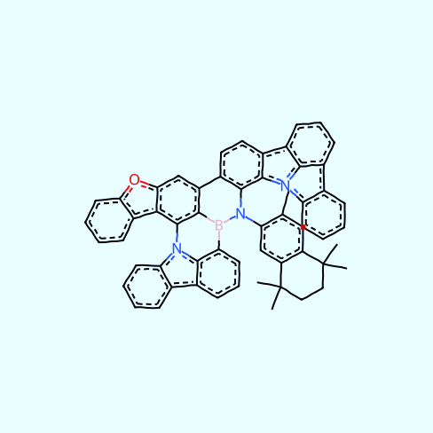 Cc1cc2c(cc1N1B3c4c(cc5oc6ccccc6c5c4-n4c5ccccc5c5cccc3c54)-c3ccc4c5cccc6c7ccccc7n(c4c31)c65)C(C)(C)CCC2(C)C